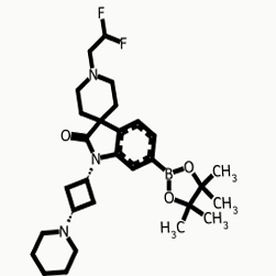 CC1(C)OB(c2ccc3c(c2)N([C@H]2C[C@@H](N4CCCCC4)C2)C(=O)C32CCN(CC(F)F)CC2)OC1(C)C